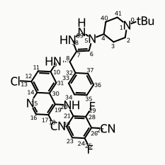 CC(C)(C)N1CCC(N2C=C([C@@H](Nc3cc(Cl)c4ncc(C#N)c(Nc5ccc(F)c(C#N)c5F)c4c3)c3ccccc3)NN2)CC1